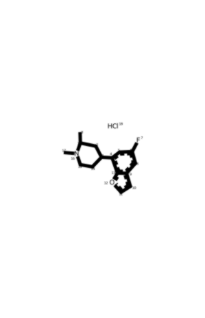 CC1CC(c2cc(F)cc3ccoc23)CCN1C.Cl